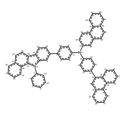 c1ccc(-n2c3cc(-c4ccc(N(c5ccc(-c6cc7ccccc7c7ccccc67)cc5)c5ccc6c(ccc7ccccc76)c5)cc4)ccc3c3ccc4ccccc4c32)cc1